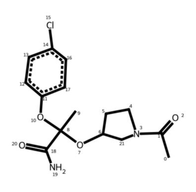 CC(=O)N1CCC(OC(C)(Oc2ccc(Cl)cc2)C(N)=O)C1